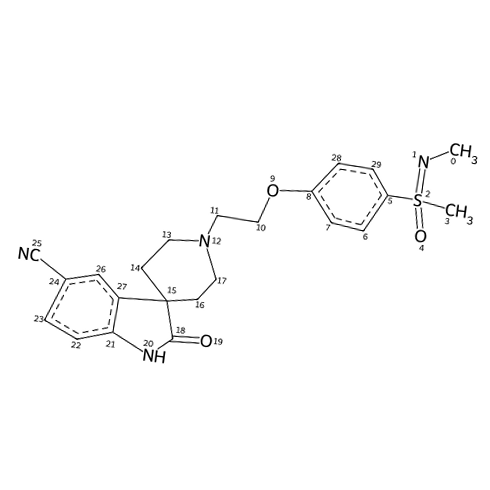 CN=S(C)(=O)c1ccc(OCCN2CCC3(CC2)C(=O)Nc2ccc(C#N)cc23)cc1